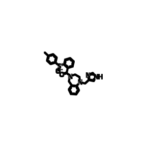 Cc1ccc([S+]([O-])c2ccccc2C(=O)N2CCN(Cc3c[nH]cn3)c3ccccc3C2)cc1